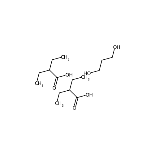 CCC(CC)C(=O)O.CCC(CC)C(=O)O.OCCCO